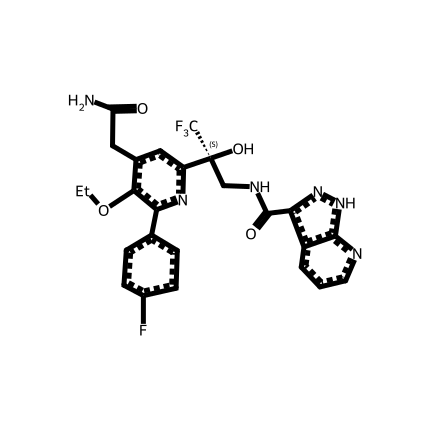 CCOc1c(CC(N)=O)cc([C@@](O)(CNC(=O)c2n[nH]c3ncccc23)C(F)(F)F)nc1-c1ccc(F)cc1